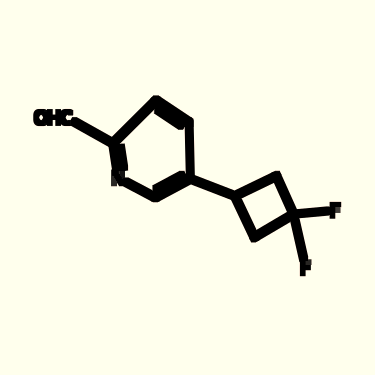 O=Cc1ccc(C2CC(F)(F)C2)cn1